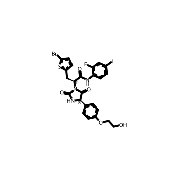 O=C(Nc1ccc(I)cc1F)[C@H](Cc1ccc(Br)s1)N1C(=O)N[C@H](c2ccc(OCCO)cc2)C1=O